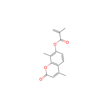 C=C(C)C(=O)Oc1ccc2c(C)cc(=O)oc2c1C